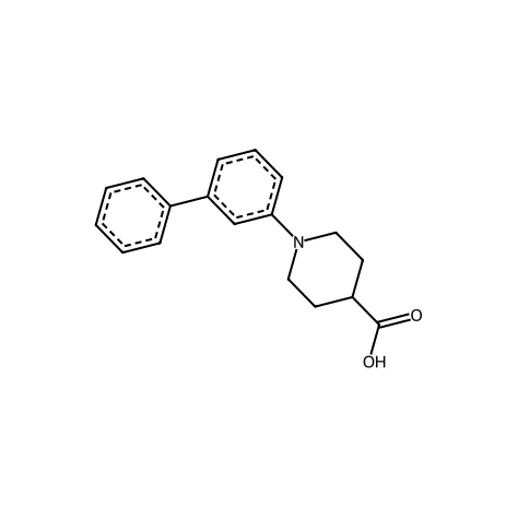 O=C(O)C1CCN(c2cccc(-c3ccccc3)c2)CC1